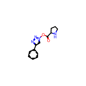 O=C(On1cc(-c2ccccc2)nn1)C1CCCN1